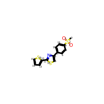 CS(=O)(=O)c1ccc(-c2csc(-c3cccs3)n2)cc1